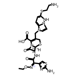 CCO/N=C(\C(=O)N[C@@H]1C(=O)N2C(C(=O)O)=C(CN3C=CN4NC(SCCN)=CC=C34)CS[C@@H]12)c1csc(N)n1